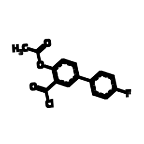 CC(=O)Oc1ccc(-c2ccc(F)cc2)cc1C(=O)Cl